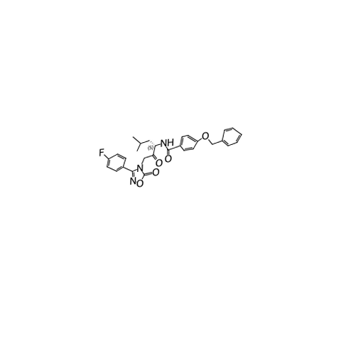 CC(C)C[C@H](NC(=O)c1ccc(OCc2ccccc2)cc1)C(=O)Cn1c(-c2ccc(F)cc2)noc1=O